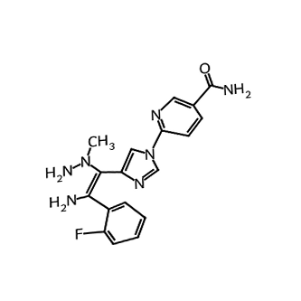 CN(N)/C(=C(\N)c1ccccc1F)c1cn(-c2ccc(C(N)=O)cn2)cn1